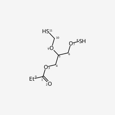 CCC(=O)OCC(COS)OCS